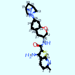 Cc1ccc2c(N)c(C(=O)N[C@H]3COc4cc(N5CC6CC(C5)N6)ccc4C3)sc2n1